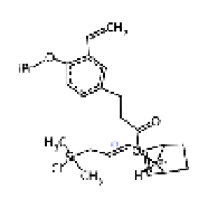 C=Cc1cc(CCC(=O)O[C@H]2C3C=C(/C=C/C[Si](C)(C)Cl)C2CC3)ccc1OC(C)C